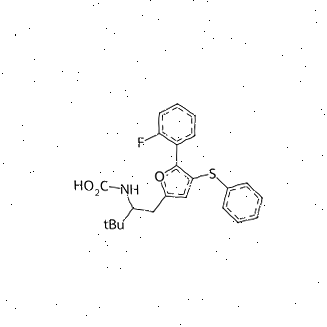 CC(C)(C)C(Cc1cc(Sc2ccccc2)c(-c2ccccc2F)o1)NC(=O)O